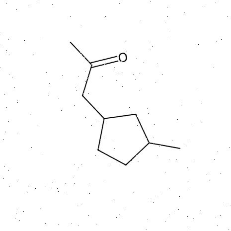 CC(=O)CC1CCC(C)C1